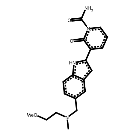 COCCN(C)Cc1ccc2[nH]c(-c3c[c]cn(C(N)=O)c3=O)cc2c1